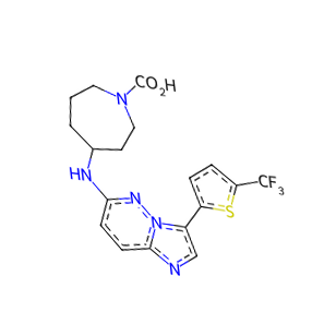 O=C(O)N1CCCC(Nc2ccc3ncc(-c4ccc(C(F)(F)F)s4)n3n2)CC1